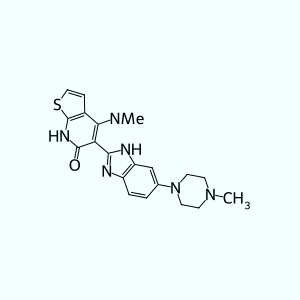 CNc1c(-c2nc3ccc(N4CCN(C)CC4)cc3[nH]2)c(=O)[nH]c2sccc12